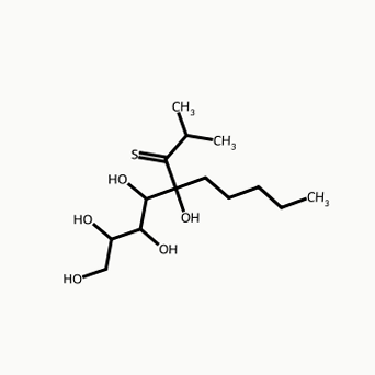 CCCCCC(O)(C(=S)C(C)C)C(O)C(O)C(O)CO